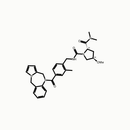 CO[C@@H]1C[C@@H](C(=O)N(C)C)N(C(=O)NCc2ccc(C(=O)N3Cc4cccn4Cc4ccccc43)cc2C)C1